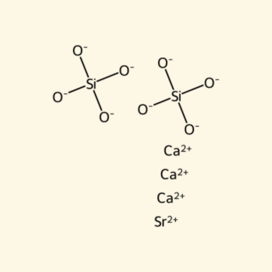 [Ca+2].[Ca+2].[Ca+2].[O-][Si]([O-])([O-])[O-].[O-][Si]([O-])([O-])[O-].[Sr+2]